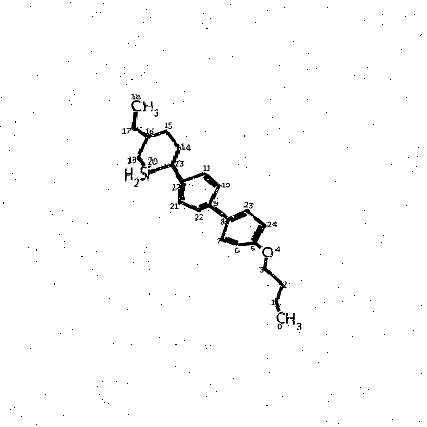 CCCCOc1ccc(-c2ccc(C3CCC(CC)C[SiH2]3)cc2)cc1